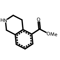 COC(=O)c1cccc2c1CCNC2